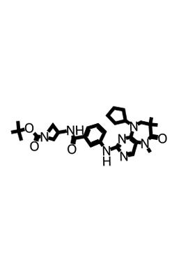 CN1C(=O)C(C)(C)CN(C2CCCC2)c2nc(Nc3cccc(C(=O)NC4CN(C(=O)OC(C)(C)C)C4)c3)ncc21